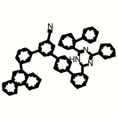 N#Cc1cc(-c2ccc(-c3ccccc3C3N=C(c4ccccc4)N=C(c4ccccc4-c4ccccc4)N3)cc2)cc(-c2cccc(-c3cc4ccccc4c4ccccc34)c2)c1